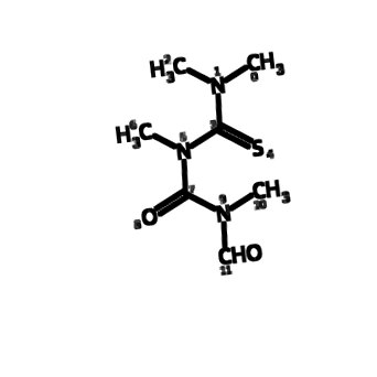 CN(C)C(=S)N(C)C(=O)N(C)C=O